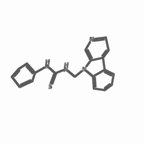 S=C(NCn1c2ccccc2c2ccncc21)Nc1ccccc1